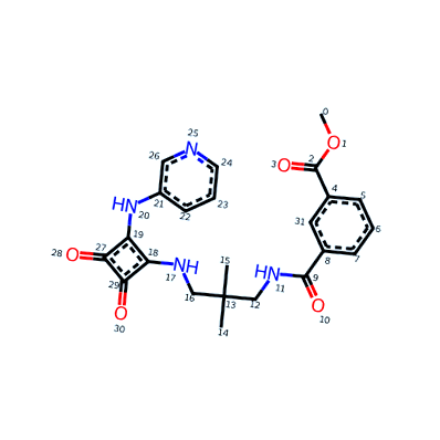 COC(=O)c1cccc(C(=O)NCC(C)(C)CNc2c(Nc3cccnc3)c(=O)c2=O)c1